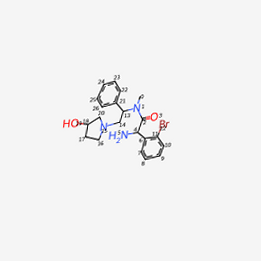 CN(C(=O)C(N)c1ccccc1Br)C(CN1CCC(O)C1)c1ccccc1